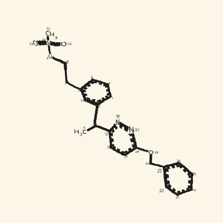 CC(c1cccc(CCOS(C)(=O)=O)c1)c1ccc(OCc2ccccc2)nn1